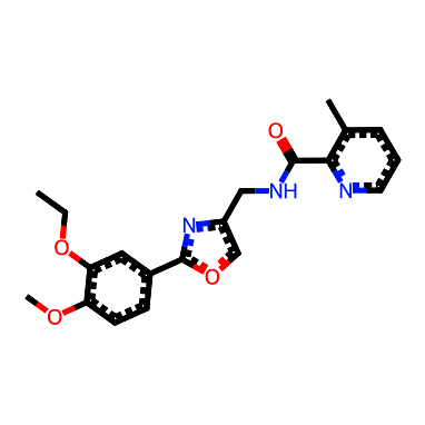 CCOc1cc(-c2nc(CNC(=O)c3ncccc3C)co2)ccc1OC